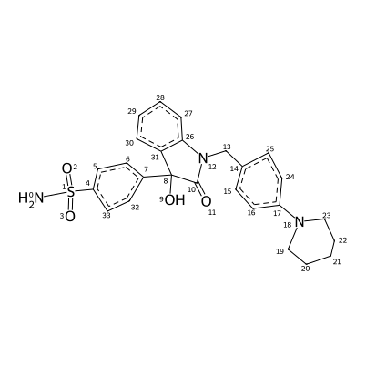 NS(=O)(=O)c1ccc(C2(O)C(=O)N(Cc3ccc(N4CCCCC4)cc3)c3ccccc32)cc1